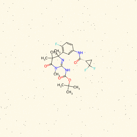 CN1C(=O)C(C)(C)C(C)(c2cc(NC(=O)[C@@H]3CC3(F)F)ccc2F)N=C1NC(=O)OC(C)(C)C